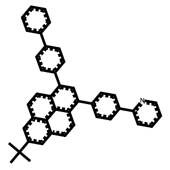 CC(C)(C)c1cc2ccc3c(-c4ccc(-c5ccccc5)cc4)cc(-c4ccc(-c5ccccn5)cc4)c4ccc(c1)c2c34